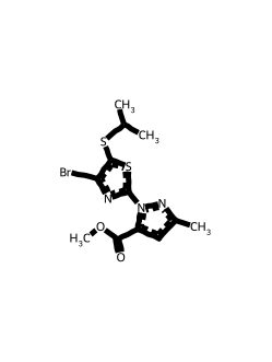 COC(=O)c1cc(C)nn1-c1nc(Br)c(SC(C)C)s1